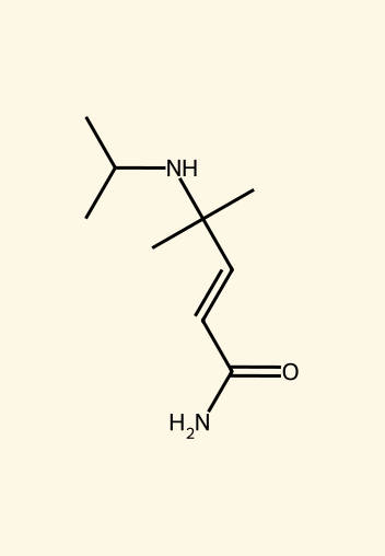 CC(C)NC(C)(C)C=CC(N)=O